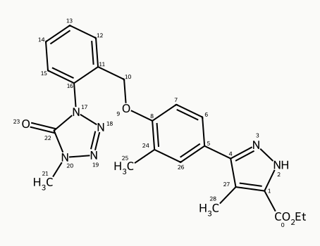 CCOC(=O)c1[nH]nc(-c2ccc(OCc3ccccc3-n3nnn(C)c3=O)c(C)c2)c1C